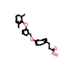 Cc1cccc(C)c1Oc1cccc(COc2ccc(CCC(=O)O)cc2)c1